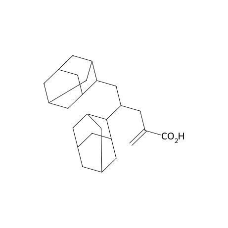 C=C(CC(CC1C2CC3CC(C2)CC1C3)C1C2CC3CC(C2)CC1C3)C(=O)O